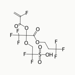 C=C(F)C(=O)OC(OCC(F)(F)S(=O)(=O)O)(C(=O)OCCC(F)(F)F)C(F)(F)F